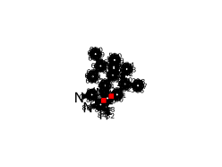 N#Cc1ccc(-n2c3ccccc3c3cc(-c4cc5c6c(c4)N(c4cc(-c7ccccc7)cc(-c7ccccc7)c4)c4ccccc4B6c4ccccc4N5c4cc(-c5ccccc5)cc(-c5ccccc5)c4)ccc32)c(-c2ccc(C(F)(F)F)cc2C#N)c1